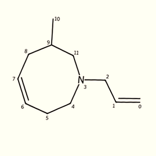 C=CCN1CC/C=C\CC(C)C1